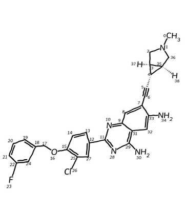 CN1C[C@@H]2[C@@H](C#Cc3cc4nc(-c5ccc(OCc6cccc(F)c6)c(Cl)c5)nc(N)c4cc3N)[C@@H]2C1